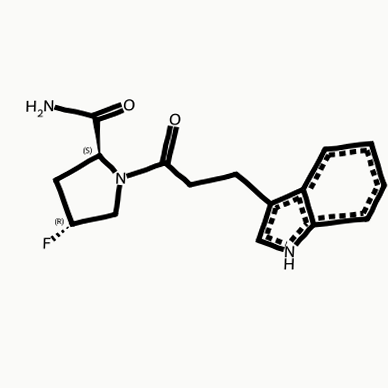 NC(=O)[C@@H]1C[C@@H](F)CN1C(=O)CCc1c[nH]c2ccccc12